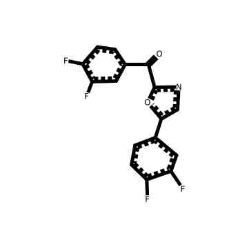 O=C(c1ccc(F)c(F)c1)c1ncc(-c2ccc(F)c(F)c2)o1